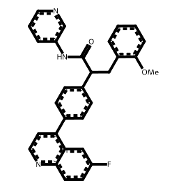 COc1ccccc1CC(C(=O)Nc1cccnc1)c1ccc(-c2ccnc3ccc(F)cc23)cc1